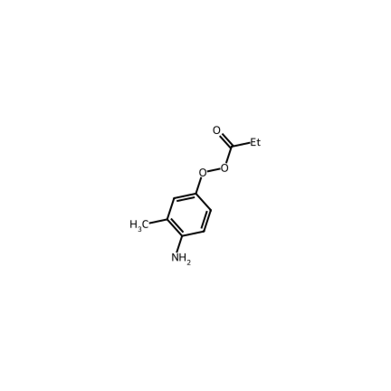 CCC(=O)OOc1ccc(N)c(C)c1